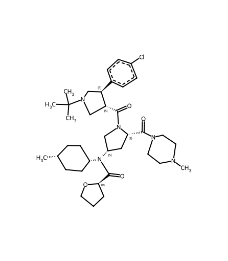 CN1CCN(C(=O)[C@@H]2C[C@H](N(C(=O)[C@H]3CCCO3)[C@H]3CC[C@@H](C)CC3)CN2C(=O)[C@@H]2CN(C(C)(C)C)C[C@H]2c2ccc(Cl)cc2)CC1